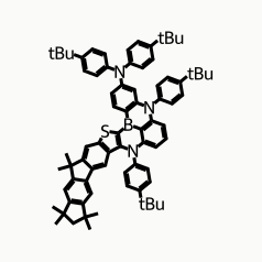 CC(C)(C)c1ccc(N(c2ccc(C(C)(C)C)cc2)c2ccc3c(c2)N(c2ccc(C(C)(C)C)cc2)c2cccc4c2B3c2sc3cc5c(cc3c2N4c2ccc(C(C)(C)C)cc2)-c2cc3c(cc2C5(C)C)C(C)(C)CC3(C)C)cc1